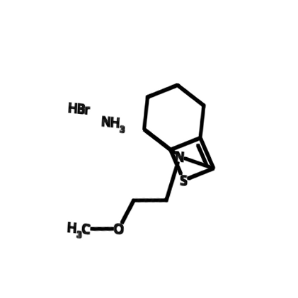 Br.COCCN1C2=C3CCCC1C3S2.N